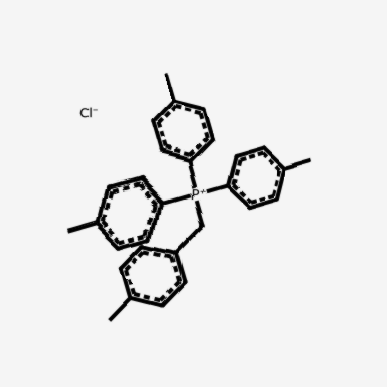 Cc1ccc(C[P+](c2ccc(C)cc2)(c2ccc(C)cc2)c2ccc(C)cc2)cc1.[Cl-]